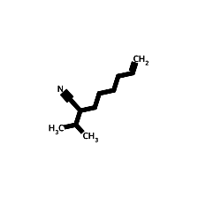 C=CCCCCC(C#N)C(C)C